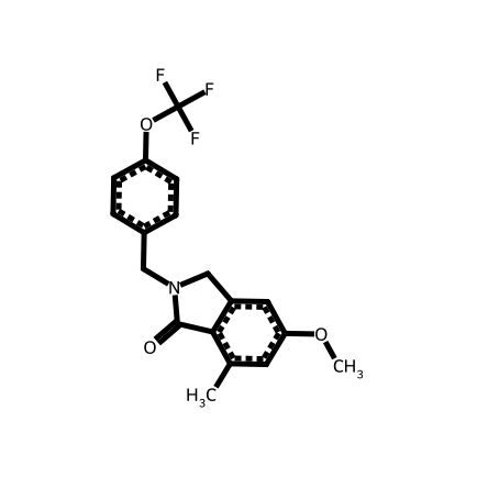 COc1cc(C)c2c(c1)CN(Cc1ccc(OC(F)(F)F)cc1)C2=O